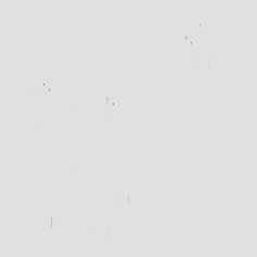 CN(C)Cc1ccc(NC2[C]=CNc3ccc(-c4cc(Cl)c(O)c(Cl)c4)cc32)cc1